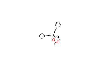 CC(=O)O[SiH2]C(C#Cc1ccccc1)C#Cc1ccccc1